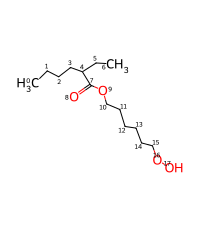 CCCCC(CC)C(=O)OCCCCCCOO